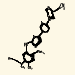 CCN(C)c1cc(Nc2nc(-c3ccc(-n4cnc(C)c4)nc3)cs2)c(C)cc1C